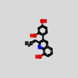 C=Cc1nc2c(O)cccc2cc1-c1ccc(O)cc1O